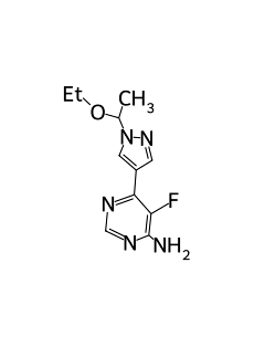 CCOC(C)n1cc(-c2ncnc(N)c2F)cn1